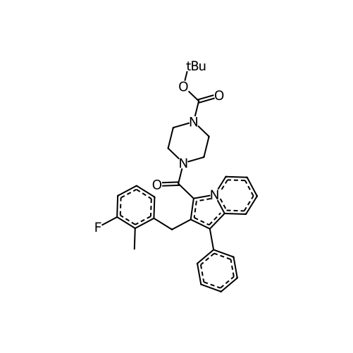 Cc1c(F)cccc1Cc1c(-c2ccccc2)c2ccccn2c1C(=O)N1CCN(C(=O)OC(C)(C)C)CC1